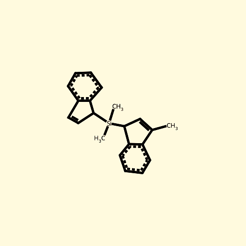 CC1=CC([Si](C)(C)C2C=Cc3ccccc32)c2ccccc21